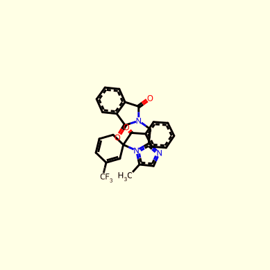 Cc1cnc(CN2C(=O)c3ccccc3C2=O)n1C1(C(=O)c2ccccc2)C=C(C(F)(F)F)C=CC1